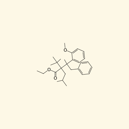 CCOC(=O)C(CC(C)C)(C(C)(C)C)C(C)(Cc1ccccc1)c1ccccc1OC